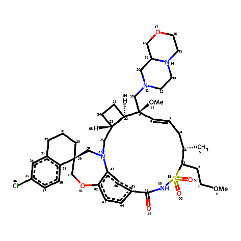 COCCC1[C@@H](C)C/C=C/[C@](CN2CCN3CCOCC3C2)(OC)[C@@H]2CC[C@H]2CN2C[C@@]3(CCCc4cc(Cl)ccc43)COc3ccc(cc32)C(=O)NS1(=O)=O